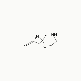 C=CCC1(N)CNCCO1